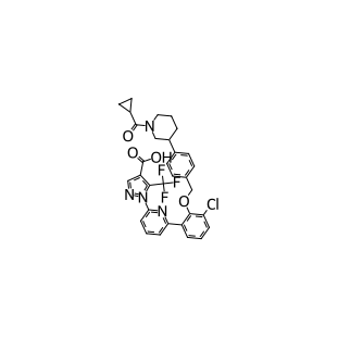 O=C(O)c1cnn(-c2cccc(-c3cccc(Cl)c3OCc3ccc(C4CCCN(C(=O)C5CC5)C4)cc3)n2)c1C(F)(F)F